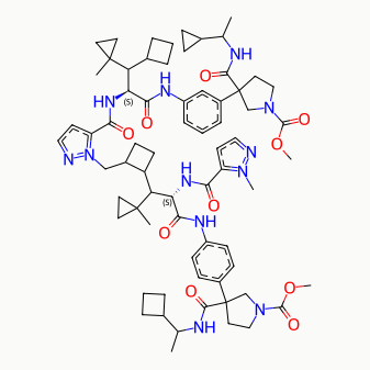 COC(=O)N1CCC(C(=O)NC(C)C2CCC2)(c2ccc(NC(=O)[C@@H](NC(=O)c3ccnn3C)C(C3CCC3Cn3nccc3C(=O)N[C@H](C(=O)Nc3cccc(C4(C(=O)NC(C)C5CC5)CCN(C(=O)OC)C4)c3)C(C3CCC3)C3(C)CC3)C3(C)CC3)cc2)C1